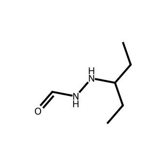 CCC(CC)NNC=O